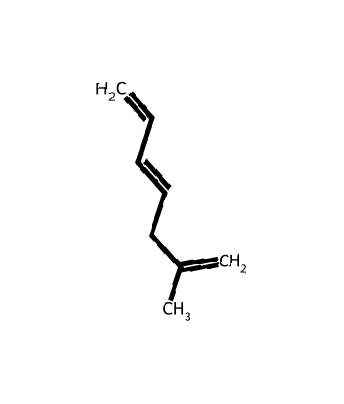 C=CC=CCC(=C)C